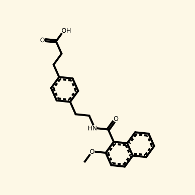 COc1ccc2ccccc2c1C(=O)NCCc1ccc(CCC(=O)O)cc1